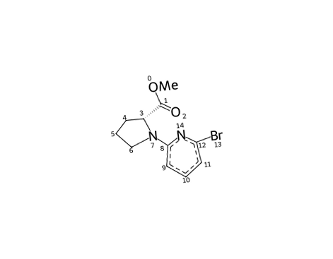 COC(=O)[C@H]1CCCN1c1cccc(Br)n1